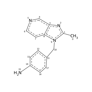 Cc1nc2cnccc2n1Cc1ccc(N)cc1